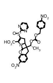 C[C@@H](OC(=O)OCc1ccc([N+](=O)[O-])cc1)C1(Cc2ccc([N+](=O)[O-])cc2)C(=O)N2C(C(=O)O)=C([S+]([O-])c3ncccn3)CC21